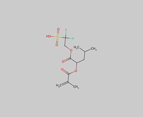 C=C(C)C(=O)OC(CC(C)C)C(=O)OCC(F)(F)S(=O)(=O)O